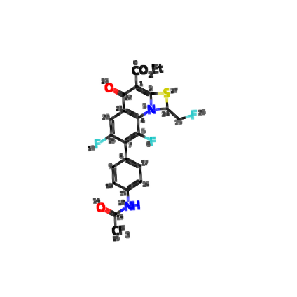 CCOC(=O)c1c2n(c3c(F)c(-c4ccc(NC(=O)C(F)(F)F)cc4)c(F)cc3c1=O)C(CF)S2